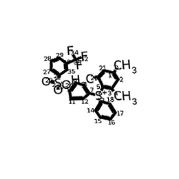 Cc1cc(C)c([S+](c2ccccc2)c2ccccc2)c(C)c1.O=S(=O)([O-])c1cccc(C(F)(F)F)c1